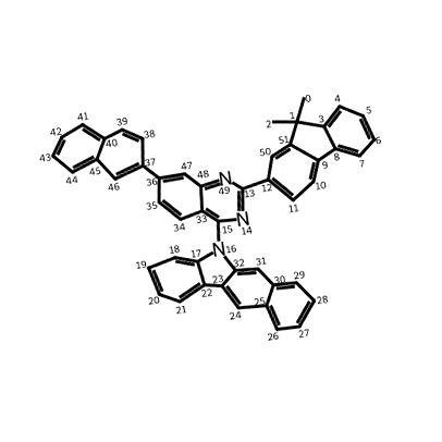 CC1(C)c2ccccc2-c2ccc(-c3nc(-n4c5ccccc5c5cc6ccccc6cc54)c4ccc(-c5ccc6ccccc6c5)cc4n3)cc21